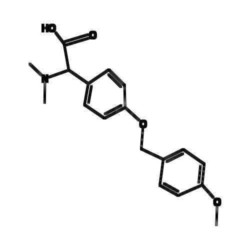 COc1ccc(COc2ccc(C(C(=O)O)N(C)C)cc2)cc1